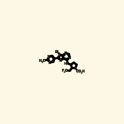 CCn1c(-c2cnc(C)nc2)nc2c(NC3CCN(C(=O)O)C3CC(F)(F)F)ncnc21